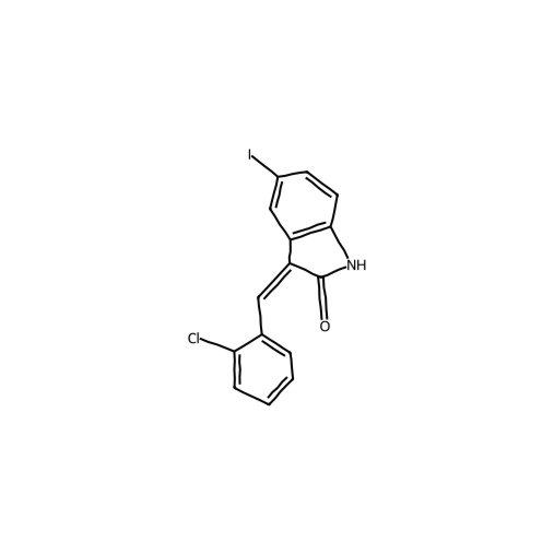 O=C1Nc2ccc(I)cc2C1=Cc1ccccc1Cl